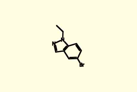 CCn1ncc2cc(Br)ccc21